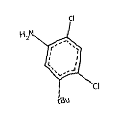 CC(C)(C)c1cc(N)c(Cl)cc1Cl